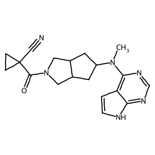 CN(c1ncnc2[nH]ccc12)C1CC2CN(C(=O)C3(C#N)CC3)CC2C1